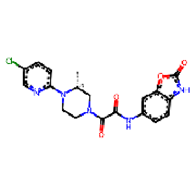 C[C@@H]1CN(C(=O)C(=O)Nc2ccc3[nH]c(=O)oc3c2)CCN1c1ccc(Cl)cn1